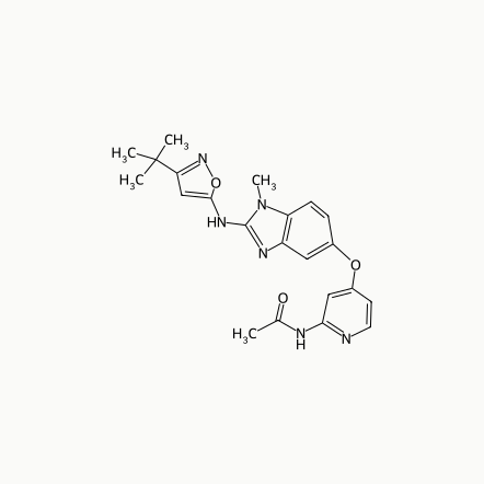 CC(=O)Nc1cc(Oc2ccc3c(c2)nc(Nc2cc(C(C)(C)C)no2)n3C)ccn1